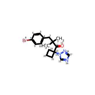 CC(C)(Cc1ccc(Br)cc1)C(=O)C1(n2cncn2)CCC1